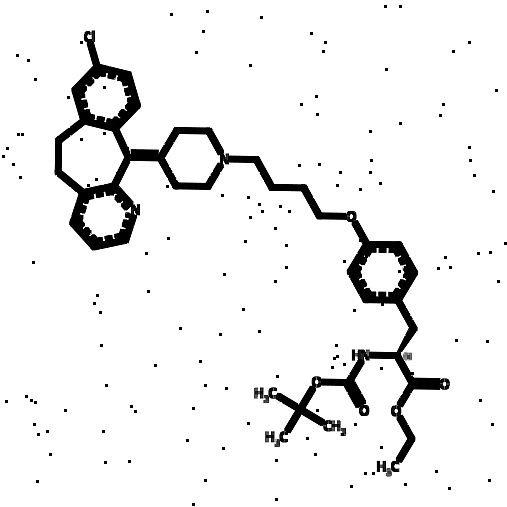 CCOC(=O)[C@H](Cc1ccc(OCCCCN2CCC(=C3c4ccc(Cl)cc4CCc4cccnc43)CC2)cc1)NC(=O)OC(C)(C)C